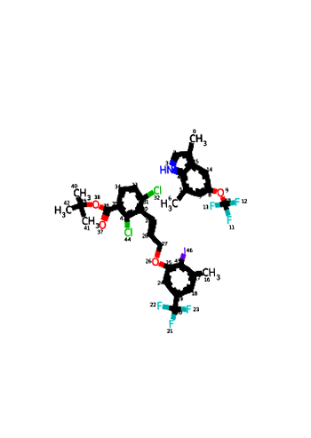 Cc1c[nH]c2c(C)cc(OC(F)(F)F)cc12.Cc1cc(C(F)(F)F)cc(OC/C=C/c2c(Cl)ccc(C(=O)OC(C)(C)C)c2Cl)c1I